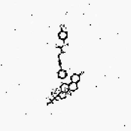 Cc1ccc(NC(=O)NCC#Cc2ccc([C@H]3C[C@@]4(C)[C@@H](CC[C@@]4(O)C(F)(F)C(F)(F)F)[C@@H]4CCC5=CC(=O)CCC5=C43)cc2)cc1